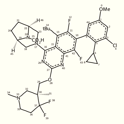 COc1cc(Cl)c(C2CC2)c(-c2c(F)c(C(C)(C)C)c3c(N4C[C@H]5CC[C@@H](C4)N5C(=O)O)nc(OC[C@]4(C)CN(C)CCC4(F)F)nc3c2F)c1